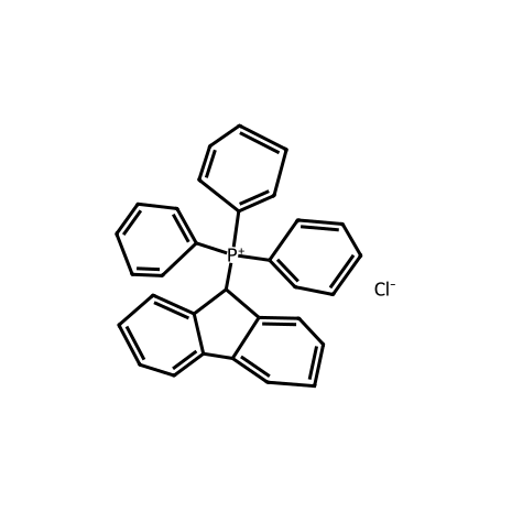 [Cl-].c1ccc([P+](c2ccccc2)(c2ccccc2)C2c3ccccc3-c3ccccc32)cc1